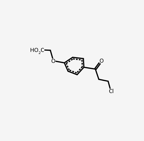 O=C(O)COc1ccc(C(=O)CCCl)cc1